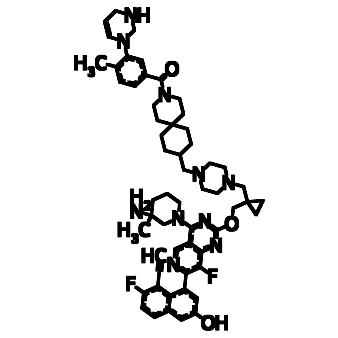 C#Cc1c(F)ccc2cc(O)cc(-c3ncc4c(N5CCCC(C)(N)C5)nc(OCC5(CN6CCN(CC7CCC8(CC7)CCN(C(=O)c7ccc(C)c(N9C=CCNC9)c7)CC8)CC6)CC5)nc4c3F)c12